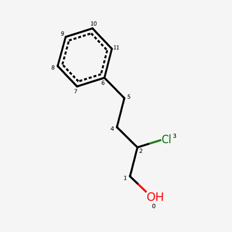 OCC(Cl)CCc1ccccc1